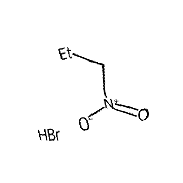 Br.CCC[N+](=O)[O-]